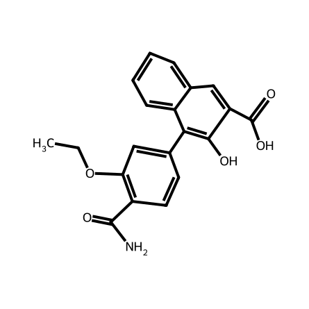 CCOc1cc(-c2c(O)c(C(=O)O)cc3ccccc23)ccc1C(N)=O